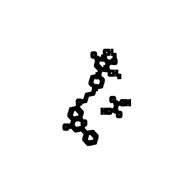 Cn1c(N2CCN(CCCOc3ccc4c(=O)cc(-c5ccccc5)oc4c3)CC2)cc(=O)n(C)c1=O.O=C(O)C(=O)O